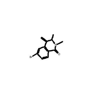 C=C1c2cc(Br)ccc2C(=O)N(C)C1C